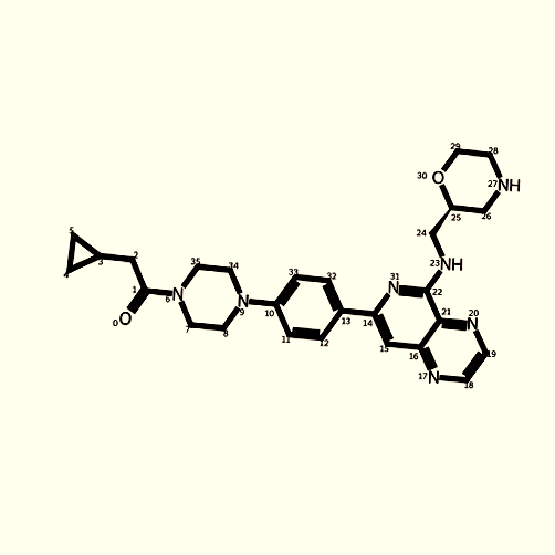 O=C(CC1CC1)N1CCN(c2ccc(-c3cc4nccnc4c(NC[C@@H]4CNCCO4)n3)cc2)CC1